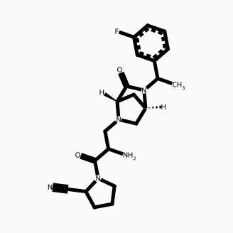 CC(c1cccc(F)c1)N1C(=O)[C@@H]2C[C@@H]1CN2CC(N)C(=O)N1CCCC1C#N